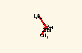 CCCCCCCCCCCCCCCCCCN(C(=O)CCCCCCCCCCC)[C@@H](CCC(=O)O)C(=O)O